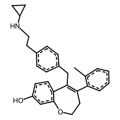 Cc1ccccc1C1=C(Cc2ccc(CCNC3CC3)cc2)c2ccc(O)cc2OCC1